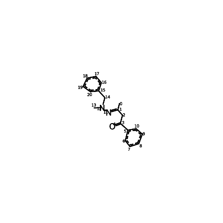 CC(CC(=O)c1ccccc1)=NN(C)Cc1ccccc1